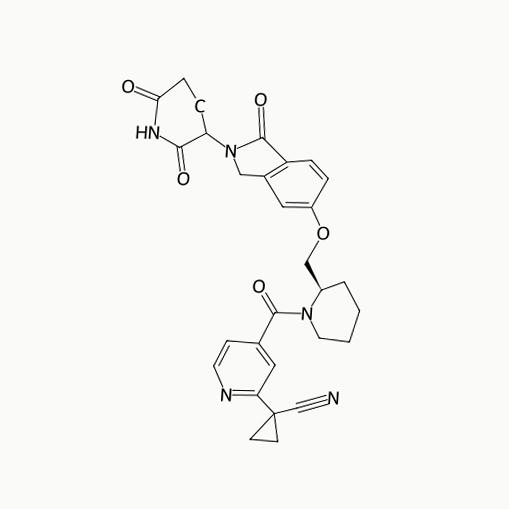 N#CC1(c2cc(C(=O)N3CCCC[C@@H]3COc3ccc4c(c3)CN(C3CCC(=O)NC3=O)C4=O)ccn2)CC1